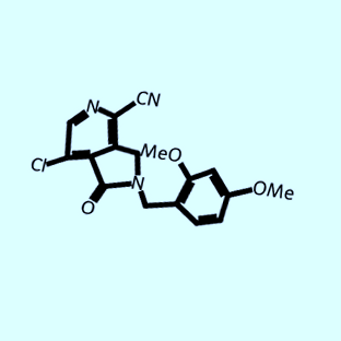 COc1ccc(CN2Cc3c(C#N)ncc(Cl)c3C2=O)c(OC)c1